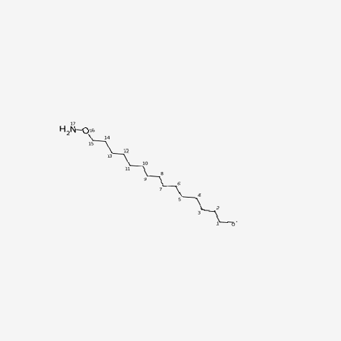 [CH2]CCCCCCCCCCCCCCCON